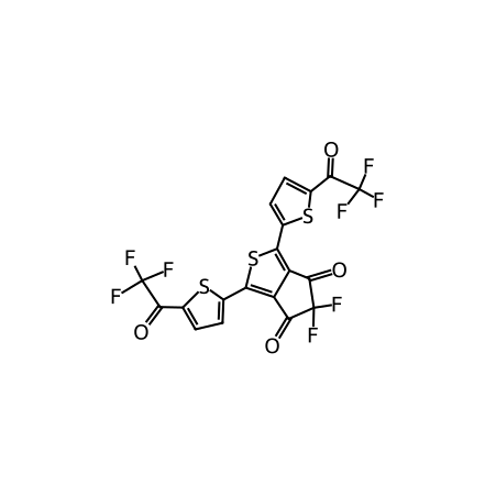 O=C(c1ccc(-c2sc(-c3ccc(C(=O)C(F)(F)F)s3)c3c2C(=O)C(F)(F)C3=O)s1)C(F)(F)F